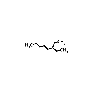 CCCC=C[Si](CC)CC